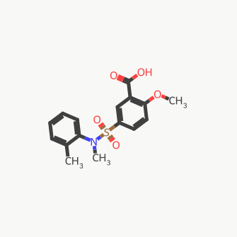 COc1ccc(S(=O)(=O)N(C)c2ccccc2C)cc1C(=O)O